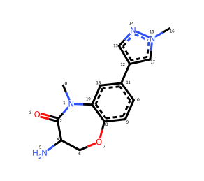 CN1C(=O)C(N)COc2ccc(-c3cnn(C)c3)cc21